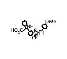 COc1ccc(CCNS(=O)(=O)c2cc(-c3[nH]c4ccccc4c3CC(=O)O)ccc2Cl)cc1